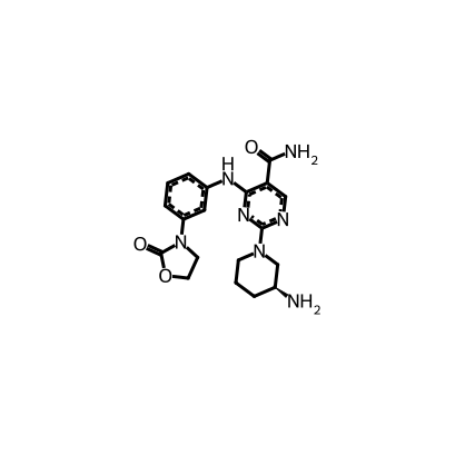 NC(=O)c1cnc(N2CCC[C@H](N)C2)nc1Nc1cccc(N2CCOC2=O)c1